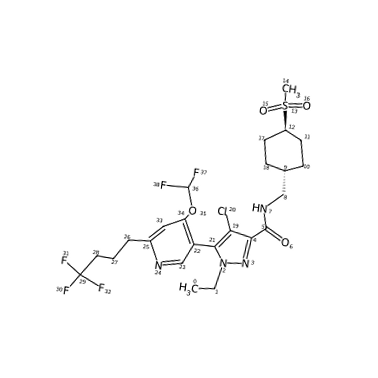 CCn1nc(C(=O)NC[C@H]2CC[C@H](S(C)(=O)=O)CC2)c(Cl)c1-c1cnc(CCCC(F)(F)F)cc1OC(F)F